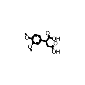 COc1ccc(C(CC(=O)O)C(=O)O)cc1OC